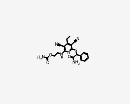 CCc1c(C#N)c(SC(C(N)=O)c2ccccc2)nc(N(C)CCOC(N)=O)c1C#N